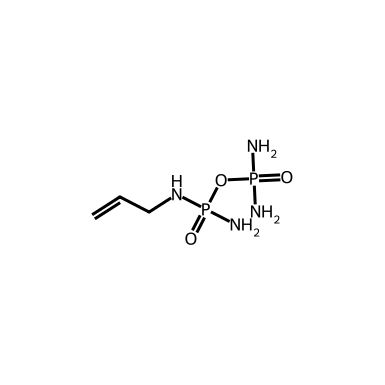 C=CCNP(N)(=O)OP(N)(N)=O